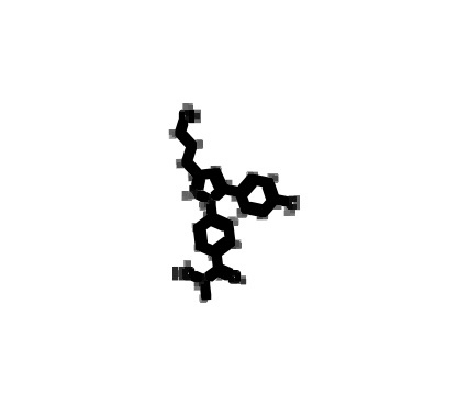 CN(O)C(=O)c1ccc(-n2nc(CCCO)cc2-c2ccc(Cl)cc2)cc1